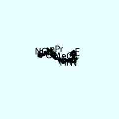 CCCC(c1ccc(CCCN2CCC(c3cc4c(-c5cc(F)ccc5OC)c(F)cnc4[nH]3)CC2)cc1)N(C)C(=O)/C(C#N)=C/c1cccs1